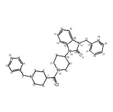 O=C(C1CCN(Cc2ccncc2)CC1)N1CCC(n2c(=O)n(Cc3ccccn3)c3ccccc32)CC1